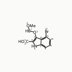 COBOc1c(C(=O)O)[nH]c2cccc(Br)c12